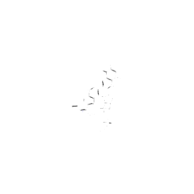 C=C(F)/C=C(/NC)c1[nH]c2ncc(-c3cnc4c(c3)c(=O)c(C(=O)OCC)cn4C)c(N3CCC4C[N+](C)(COP(=O)(O)OC(C)(C)C)C43)c2c1F